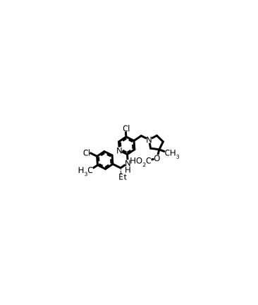 CC[C@@H](Nc1cc(CN2CCC(C)(OC(=O)O)C2)c(Cl)cn1)c1ccc(Cl)c(C)c1